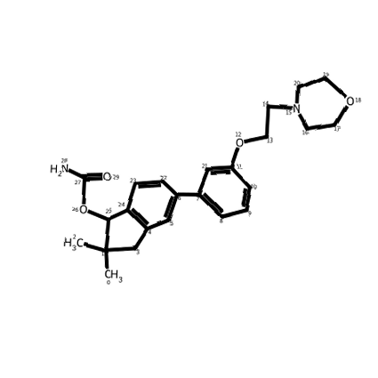 CC1(C)Cc2cc(-c3cccc(OCCN4CCOCC4)c3)ccc2C1OC(N)=O